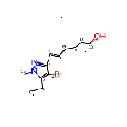 CCc1c(Br)c(C=CCCCCO)nn1C